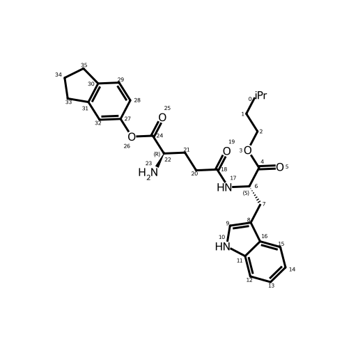 CC(C)CCOC(=O)[C@H](Cc1c[nH]c2ccccc12)NC(=O)CC[C@@H](N)C(=O)Oc1ccc2c(c1)CCC2